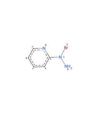 NN(Br)c1ccccn1